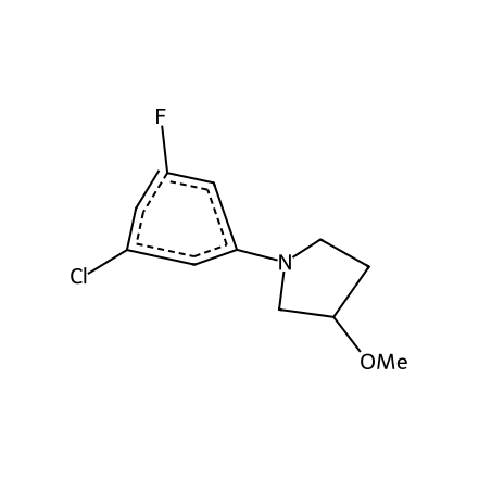 COC1CCN(c2cc(F)cc(Cl)c2)C1